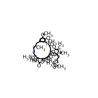 COc1cc2cc(c1Cl)N(C)C(=O)C[C@H](OC(=O)[C@H](C)N(C)C(=O)CCC[SH](C)(C)=O)[C@@]1(C)O[C@H]1[C@H](C)[C@@H]1C[C@@](O)(NC(=O)O1)[C@H](OC)/C=C/C=C(\C)C2